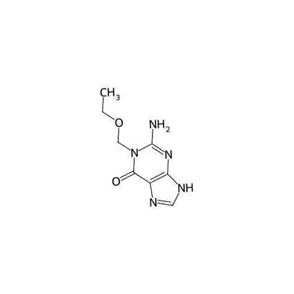 CCOCn1c(N)nc2[nH]cnc2c1=O